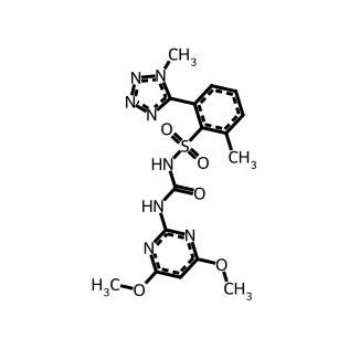 COc1cc(OC)nc(NC(=O)NS(=O)(=O)c2c(C)cccc2-c2nnnn2C)n1